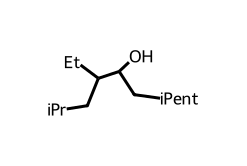 CCCC(C)CC(O)C(CC)CC(C)C